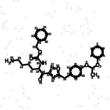 CC(Oc1ccccc1)Oc1ccc(Cc2nc(C(=O)C(CCCCN)NC(=O)OCc3ccccc3)no2)cc1